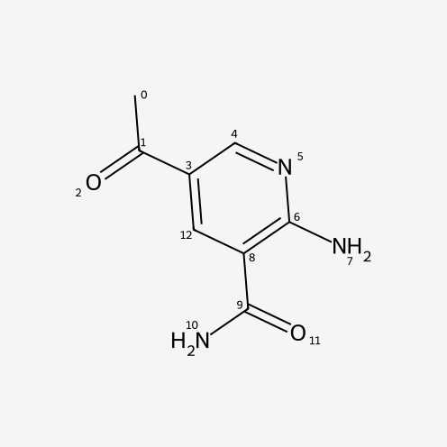 CC(=O)c1cnc(N)c(C(N)=O)c1